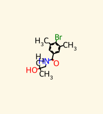 Cc1cc(C(=O)NCC(C)(C)O)cc(C)c1Br